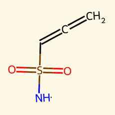 C=C=CS([NH])(=O)=O